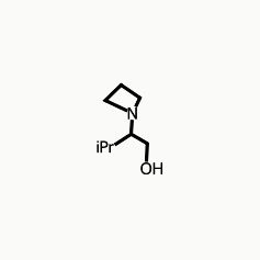 CC(C)C(CO)N1CCC1